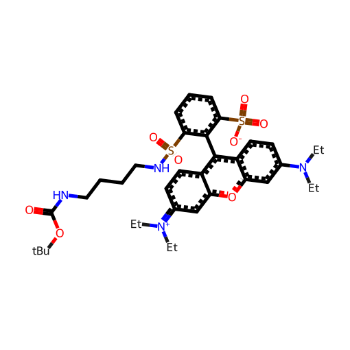 CCN(CC)c1ccc2c(-c3c(S(=O)(=O)[O-])cccc3S(=O)(=O)NCCCCNC(=O)OC(C)(C)C)c3ccc(=[N+](CC)CC)cc-3oc2c1